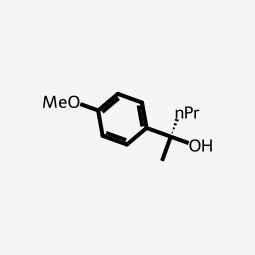 CCC[C@@](C)(O)c1ccc(OC)cc1